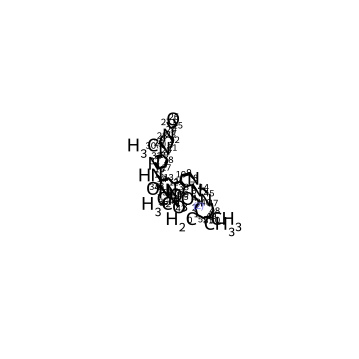 C=C1/C=C2/C(=O)N(c3nccc(-c4cc(Nc5ccc(N6CCN(C7COC7)C[C@@H]6C)cn5)c(=O)n(C)n4)c3COC(C)=O)CCN2CCC(C)(C)C1